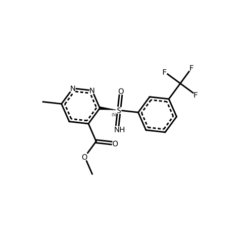 COC(=O)c1cc(C)nnc1[S@@](=N)(=O)c1cccc(C(F)(F)F)c1